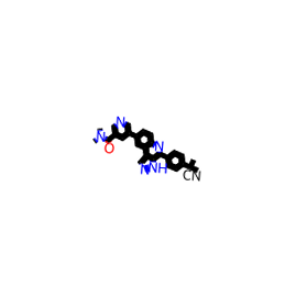 CN(C)C(=O)c1cncc(-c2ccc3nc(-c4ccc(C(C)(C)C#N)cc4)c4[nH]ncc4c3c2)c1